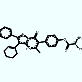 Cc1[nH]c2c(C3=CCCCC3)c(-c3ccccc3)nn2c(=O)c1-c1ccc(OC(=O)[C@@H](N)C(C)C)cc1